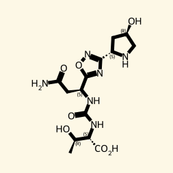 C[C@@H](O)[C@H](NC(=O)N[C@@H](CC(N)=O)c1nc([C@@H]2C[C@@H](O)CN2)no1)C(=O)O